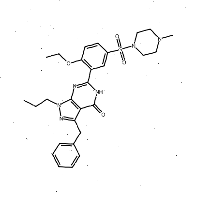 CCCn1nc(Cc2ccccc2)c2c(=O)[nH]c(-c3cc(S(=O)(=O)N4CCN(C)CC4)ccc3OCC)nc21